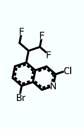 FCC(c1ccc(Br)c2cnc(Cl)cc12)C(F)F